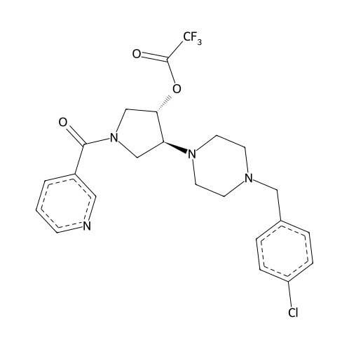 O=C(c1cccnc1)N1C[C@H](OC(=O)C(F)(F)F)[C@@H](N2CCN(Cc3ccc(Cl)cc3)CC2)C1